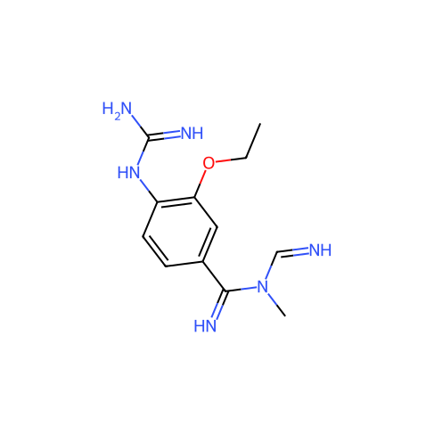 CCOc1cc(C(=N)N(C)C=N)ccc1NC(=N)N